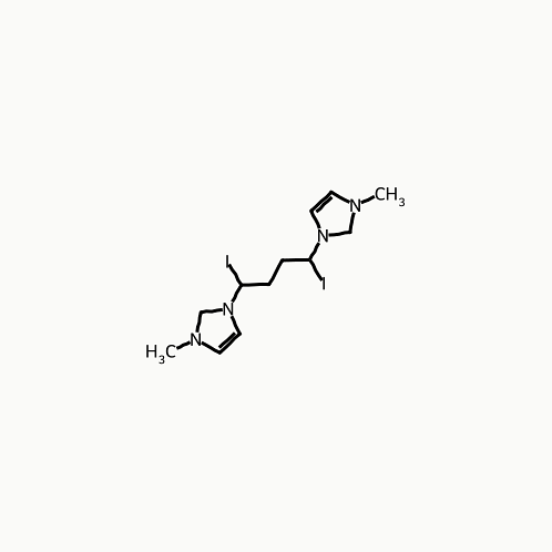 CN1C=CN(C(I)CCC(I)N2C=CN(C)C2)C1